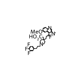 COc1ccc2ncc(N(C)C)c([C@H](F)CCC3(CC(=O)O)CCN(CCCc4cc(F)c(F)c(F)c4)CC3)c2c1